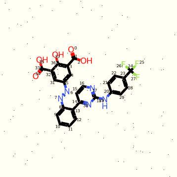 O=C(O)c1cc(N=Nc2ccccc2-c2ccnc(Nc3ccc(C(F)(F)F)cc3)n2)cc(C(=O)O)c1O